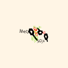 COc1ccc(S(=O)(=O)c2ccc(Oc3ccc(C)cc3)cc2C(F)F)c(C(F)(F)C(F)(F)S(=O)(=O)O)c1